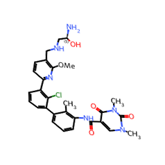 COc1nc(-c2cccc(-c3cccc(NC(=O)c4cn(C)c(=O)n(C)c4=O)c3C)c2Cl)ccc1CNC[C@@H](N)O